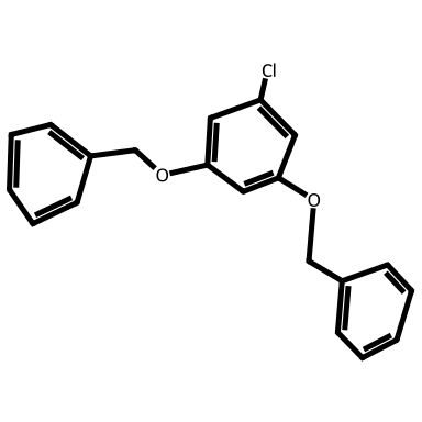 Clc1cc(OCc2ccccc2)cc(OCc2ccccc2)c1